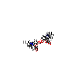 CN1CC[C@]23c4c5ccc(OOOc6ccc7c8c6O[C@H]6C(=O)CC[C@H]9[C@@H](C7)N(C)CC[C@]869)c4O[C@H]2C(=O)CC[C@H]3[C@H]1C5